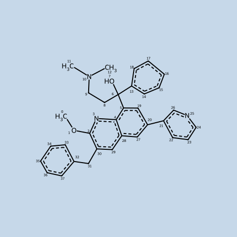 COc1nc2c(C(O)(CCN(C)C)c3ccccc3)cc(-c3cccnc3)cc2cc1Cc1ccccc1